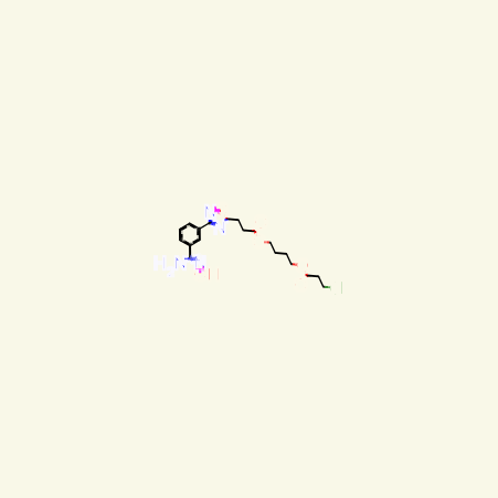 N/C(=N\O)c1cccc(-c2noc(CCC(=O)OCCCCOC(=O)CCCl)n2)c1